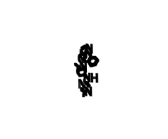 Cc1cnc(NC2CC3CC2N(C(=O)c2ccccc2-n2nccn2)C3C)cn1